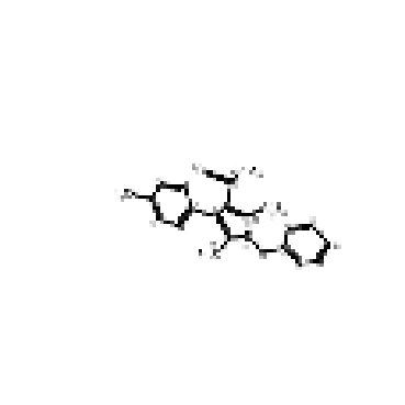 COC(=O)c1c(-c2ccc(C(F)(F)F)cc2)c(C)n(Cc2ccccc2)c1C